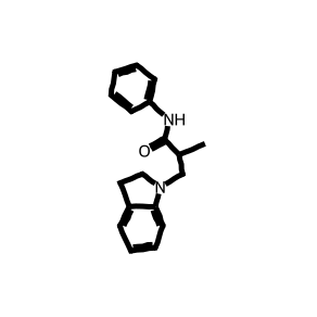 CC(CN1CCc2ccccc21)C(=O)Nc1ccccc1